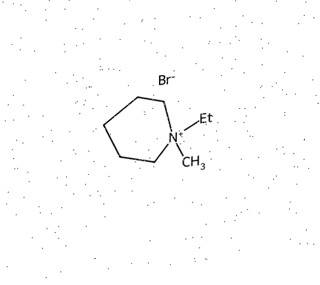 CC[N+]1(C)CCCCC1.[Br-]